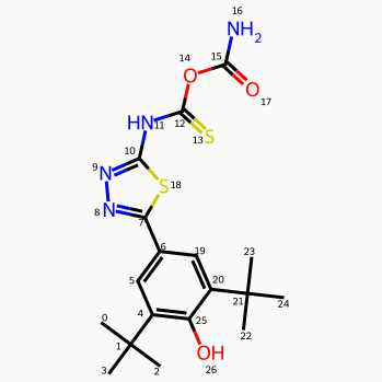 CC(C)(C)c1cc(-c2nnc(NC(=S)OC(N)=O)s2)cc(C(C)(C)C)c1O